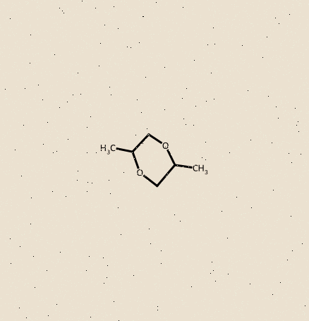 CC1COC(C)CO1